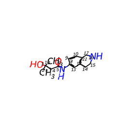 CC(C)(O)CC(=O)Nc1ccc2c(c1)CCNC2